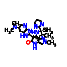 CC(C)[C@@]([SiH3])(Nc1c(-c2nc3ncc(N(C)C)cc3[nH]2)c(=O)[nH]c2cn(C)nc12)c1ncccn1